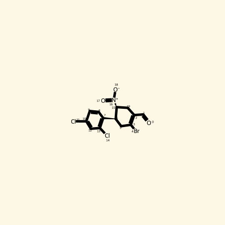 O=CC1=C(Br)C[C@@H](c2ccc(Cl)cc2Cl)[C@H]([N+](=O)[O-])C1